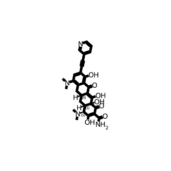 CN(C)c1cc(C#Cc2cccnc2)c(O)c2c1C[C@H]1C[C@H]3[C@H](N(C)C)C(O)=C(C(N)=O)C(=O)[C@@]3(O)C(O)=C1C2=O